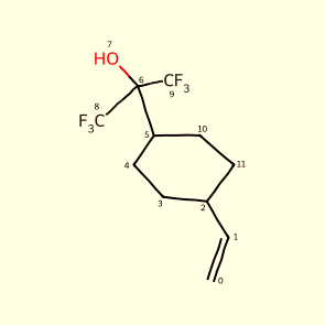 C=CC1CCC(C(O)(C(F)(F)F)C(F)(F)F)CC1